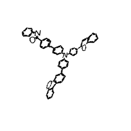 c1ccc2oc(-c3ccc(N(c4ccc(-c5ccc(-c6nc7ccccc7o6)cc5)cc4)c4ccc(-c5ccc6c(c5)oc5ccccc56)cc4)cc3)cc2c1